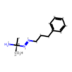 C[C@@](N)(N=NCCCc1ccccc1)C(=O)O